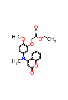 CCOC(=C=O)COc1cc(N(C)c2cc(=O)oc3ccccc23)ccc1OC